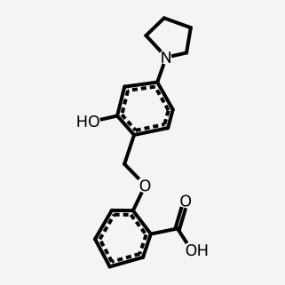 O=C(O)c1ccccc1OCc1ccc(N2CCCC2)cc1O